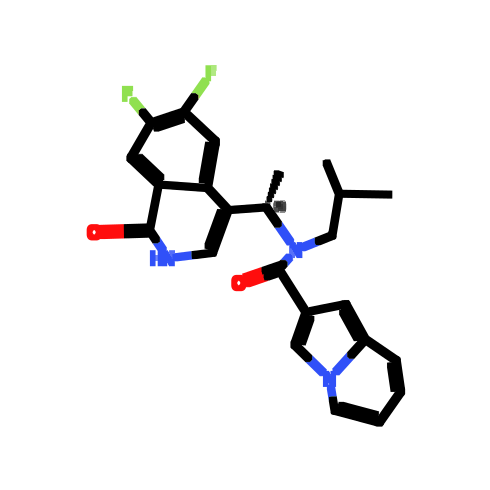 CC(C)CN(C(=O)c1cc2ccccn2c1)[C@@H](C)c1c[nH]c(=O)c2cc(F)c(F)cc12